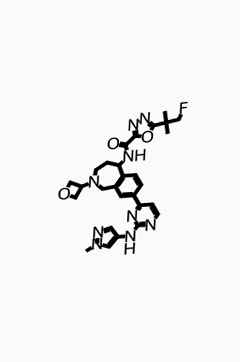 Cn1cc(Nc2nccc(-c3ccc4c(c3)CN(C3COC3)CCC4NC(=O)c3nnc(C(C)(C)CF)o3)n2)cn1